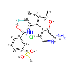 C[C@@H](Oc1cc(Cl)cnc1N)c1ccc(F)c(NC(=O)c2cccc(S(C)(=O)=O)c2)c1